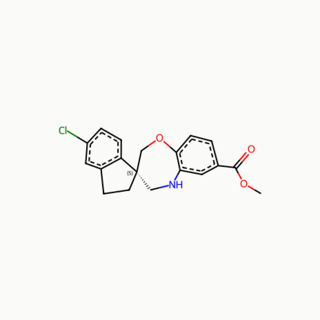 COC(=O)c1ccc2c(c1)NC[C@@]1(CCc3cc(Cl)ccc31)CO2